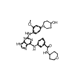 COc1cc(N2CCC(O)CC2)ccc1Nc1nc(Nc2cccc(C(=O)NC3CCOCC3)c2)c2nc[nH]c2n1